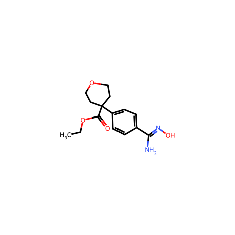 CCOC(=O)C1(c2ccc(C(N)=NO)cc2)CCOCC1